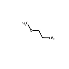 CC[C]OC